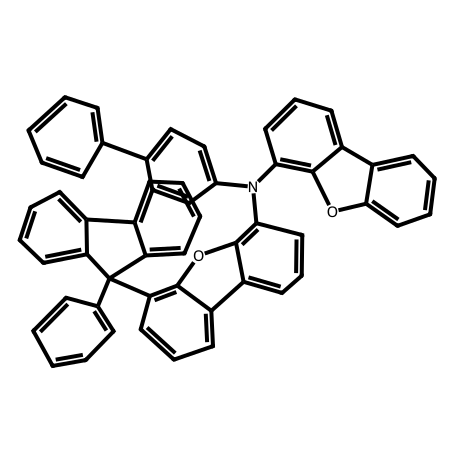 c1ccc(-c2ccc(N(c3cccc4c3oc3ccccc34)c3cccc4c3oc3c(C5(c6ccccc6)c6ccccc6-c6ccccc65)cccc34)cc2)cc1